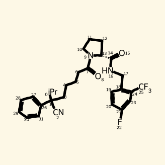 CC(C)C(C#N)(CCCCC(=O)N1CCC[C@@H]1C(=O)NCc1ccc(F)cc1C(F)(F)F)c1ccccc1